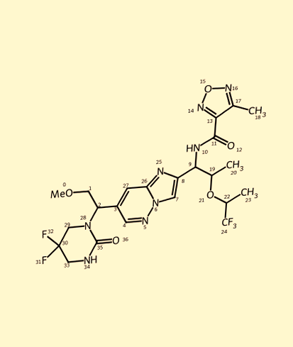 COCC(c1cnn2cc(C(NC(=O)c3nonc3C)C(C)OC(C)C(F)(F)F)nc2c1)N1CC(F)(F)CNC1=O